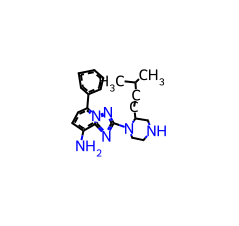 CC(C)CCC1CNCCN1c1nc2c(N)ccc(-c3ccccc3)n2n1